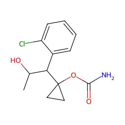 CC(O)C(c1ccccc1Cl)C1(OC(N)=O)CC1